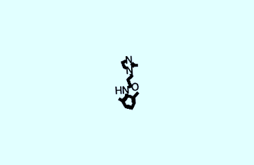 CC1=NCCN1CCC(=O)Nc1c(C)cccc1C